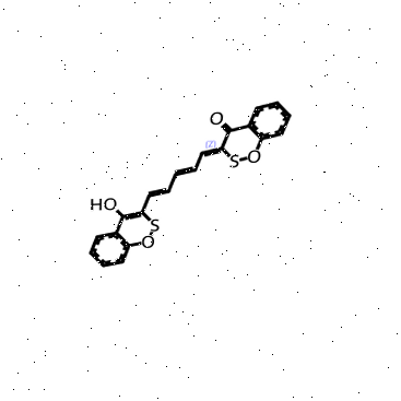 O=C1/C(=C/C=CC=CC2=C(O)c3ccccc3OS2)SOc2ccccc21